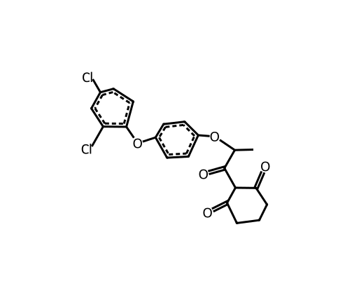 CC(Oc1ccc(Oc2ccc(Cl)cc2Cl)cc1)C(=O)C1C(=O)CCCC1=O